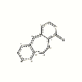 O=c1cccc2cc3ccccc3ccc1-2